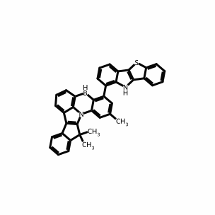 Cc1cc(-c2cccc3c2[nH]c2c4ccccc4sc32)c2c(c1)-n1c3c(c4cccc(c41)B2)-c1ccccc1C3(C)C